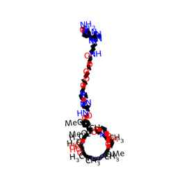 CO[C@H]1C[C@@H]2CC[C@@H](C)[C@@](O)(O2)C(=O)C(=O)N2CCCC[C@H]2C(=O)O[C@H]([C@H](C)C[C@@H]2CC[C@@H](OC(=O)NCc3cnc(N4CCN(CCOCCOCCOCCOCCC(=O)NCCCCn5nc(-c6ccc7oc(N)nc7c6)c6c(N)ncnc65)CC4)nc3)[C@H](OC)C2)C[C@@H](OC)[C@H](C)/C=C(\C)[C@@H](O)[C@@H](O)C(=O)[C@H](C)C[C@H](C)/C=C/C=C/C=C/1C